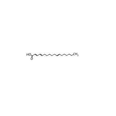 CCCCCCC=CCCCCCC=CC=CC(=O)O